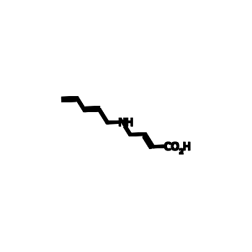 C=CC=CCNCC=CC(=O)O